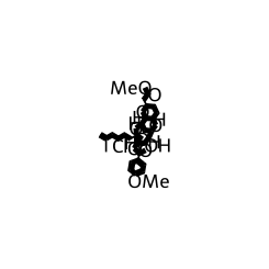 C=C(I)C[C@H](Cl)CC[C@@]12O[C@@H]3CC(O[C@H]4CC[C@H](CC(=O)OC)O[C@@H]43)[C@H](O1)[C@@]1(O)O[C@@H](c3ccc(OC)cc3)O[C@@H]21